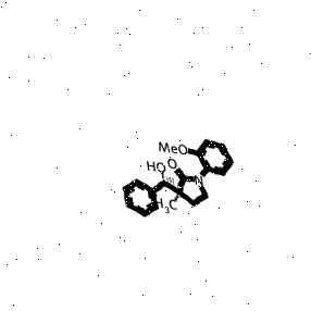 COc1ccccc1N1CC[C@@](C)([C@@H](O)c2ccccc2)C1=O